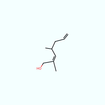 C=CCC(C)C=C(C)CO